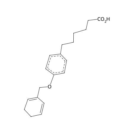 O=C(O)CCCCCc1ccc(OCC2=CCCC=C2)cc1